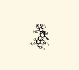 COC1=C(C)C(=O)C2=C(C1=O)[C@H](CN)N1C(C2)C2c3c(cc(C)c(OC)c3O)C[C@@H]([C@@H]1C#N)N2C